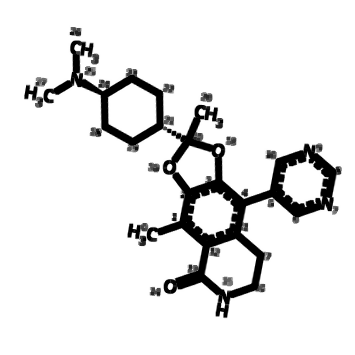 Cc1c2c(c(-c3cncnc3)c3c1C(=O)NCC3)OC(C)([C@H]1CC[C@H](N(C)C)CC1)O2